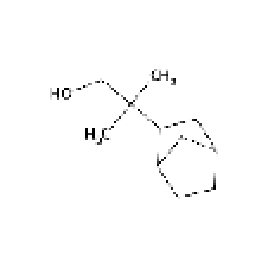 CC(C)(CO)C1CC2CCC1C2